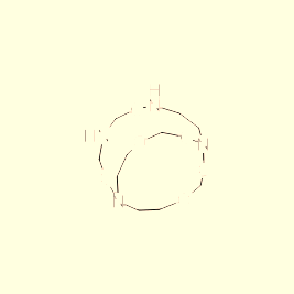 C1CNCCN2CCOCCN(CCN1)CCOCC2